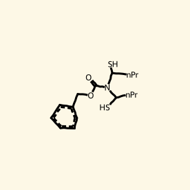 CCCC(S)N(C(=O)OCc1ccccc1)C(S)CCC